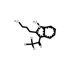 CCCCc1c(C(=O)C(Cl)(Cl)Cl)c2ccccc2n1C